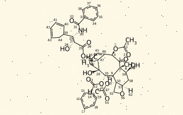 CC(=O)O[C@H]1C(=O)[C@@]2(C)[C@H]([C@H](OC(=O)c3ccccc3)[C@]3(O)CC(OC(=O)[C@H](O)[C@@H](NC(=O)c4ccccc4)C4C=CC=CC4)C=C1C3(C)C)[C@]1(OC(C)=O)CO[C@@H]1C[C@@H]2O